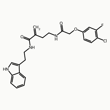 C=C(CCNC(=O)COc1ccc(Cl)c(F)c1)C(=O)NCCc1c[nH]c2ccccc12